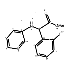 COC(=O)C(Nc1ccccc1)c1ccccc1F